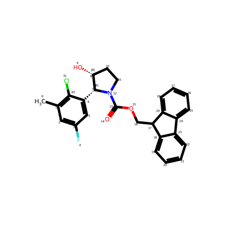 Cc1cc(F)cc([C@@H]2[C@H](O)CCN2C(=O)OCC2c3ccccc3-c3ccccc32)c1Cl